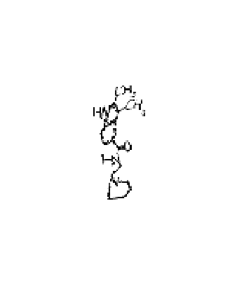 Cc1[nH]c2ccc(C(=O)N(I)CCN3CCCCC3)cc2c1C